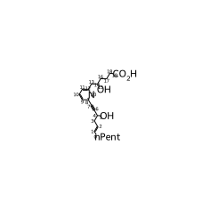 CCCCCC=CCC(O)C#Cc1cccc(CC(O)CCCC(=O)O)n1